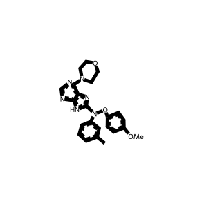 COc1ccc(ON(c2cccc(C)c2)c2nc3c(N4CCOCC4)ncnc3[nH]2)cc1